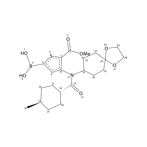 COC(=O)c1sc(B(O)O)cc1N(C(=O)[C@H]1CC[C@H](C)CC1)C1CCC2(CC1)OCCO2